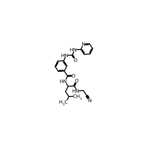 CC(C)CC(NC(=O)c1cccc(NC(=O)Nc2ccccn2)c1)C(=O)NCC#N